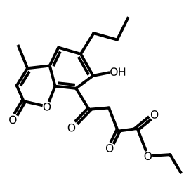 CCCc1cc2c(C)cc(=O)oc2c(C(=O)CC(=O)C(=O)OCC)c1O